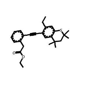 CCOC(=O)Cc1ccccc1C#Cc1cc2c(cc1CC)SC(C)(C)CC2(C)C